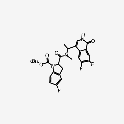 CC(c1c[nH]c(=O)c2cc(F)c(F)cc12)N(C)C(=O)C1Cc2cc(F)ccc2N1C(=O)OC(C)(C)C